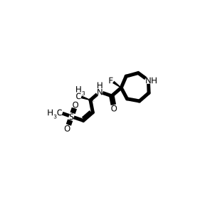 C[C@H](/C=C\S(C)(=O)=O)NC(=O)[C@@]1(F)CCCNCC1